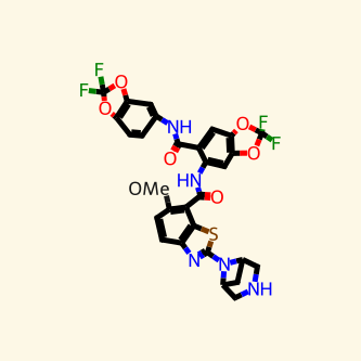 COc1ccc2nc(N3C4CNCC3C4)sc2c1C(=O)Nc1cc2c(cc1C(=O)Nc1ccc3c(c1)OC(F)(F)O3)OC(F)(F)O2